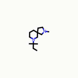 CCC(C)(C)N1CCCC2(CCN(C)C2)C1